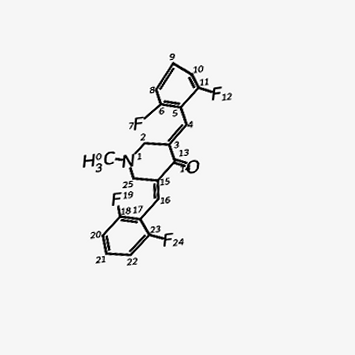 CN1CC(=Cc2c(F)cccc2F)C(=O)C(=Cc2c(F)cccc2F)C1